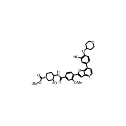 COc1cc(C(=O)NC2CCN(C(=O)OC(C)(C)C)CC2O)ccc1-c1cc2nccc(-c3ccc(OC4CCOCC4)c(C#N)c3)c2o1